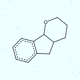 c1ccc2c(c1)CC1CCCOC21